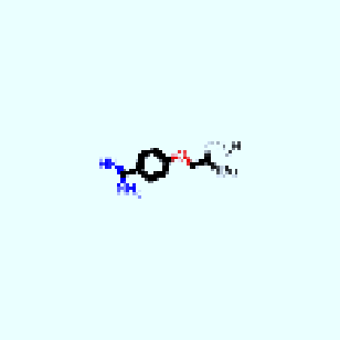 CC(C)(C)C(COc1ccc(C(=N)N)cc1)C(=O)O